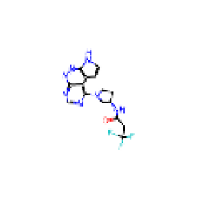 O=C(CC(F)(F)F)NC1CCN(c2ncnc3nnc4[nH]ccc4c23)C1